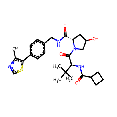 Cc1ncsc1-c1ccc(CNC(=O)[C@@H]2C[C@@H](O)CN2C(=O)[C@@H](NC(=O)C2CCC2)C(C)(C)C)cc1